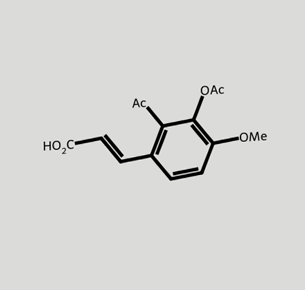 COc1ccc(C=CC(=O)O)c(C(C)=O)c1OC(C)=O